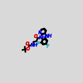 CC(C)(C)OC(=O)NCCC(=O)Nc1ncccc1Nc1cc(F)cc(F)c1